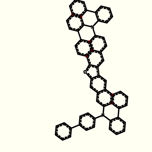 c1ccc(-c2ccc(N(c3ccc4cc5c(cc4c3)oc3cc4cc(N(c6ccccc6-c6ccccc6)c6ccccc6-c6ccccc6)ccc4cc35)c3ccccc3-c3ccccc3)cc2)cc1